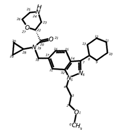 COCCCn1nc(C2CCCCC2)c2ccc(CN(C(=O)[C@H]3CNCCO3)C3CC3)cc21